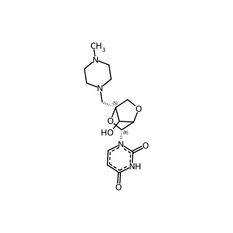 CN1CCN(C[C@]23COC(C2O)[C@H](n2ccc(=O)[nH]c2=O)O3)CC1